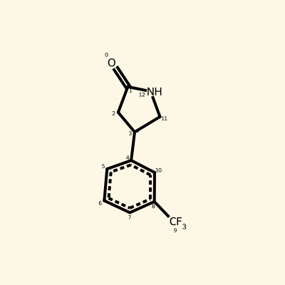 O=C1C[C](c2cccc(C(F)(F)F)c2)CN1